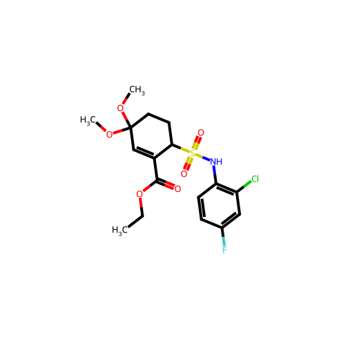 CCOC(=O)C1=CC(OC)(OC)CCC1S(=O)(=O)Nc1ccc(F)cc1Cl